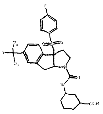 O=C(O)C1CCCC(NC(=O)N2CCC3(S(=O)(=O)c4ccc(F)cc4)c4ccc(C(F)(C(F)(F)F)C(F)(F)F)cc4CC23)C1